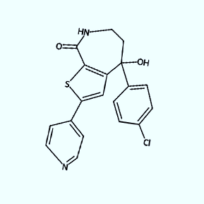 O=C1NCCC(O)(c2ccc(Cl)cc2)c2cc(-c3ccncc3)sc21